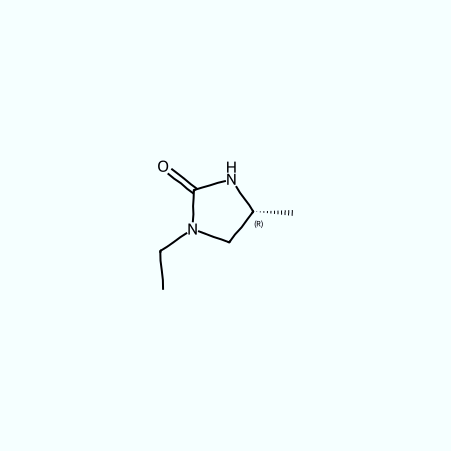 CCN1C[C@@H](C)NC1=O